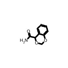 NC(=O)C1OCOc2cc[c]cc21